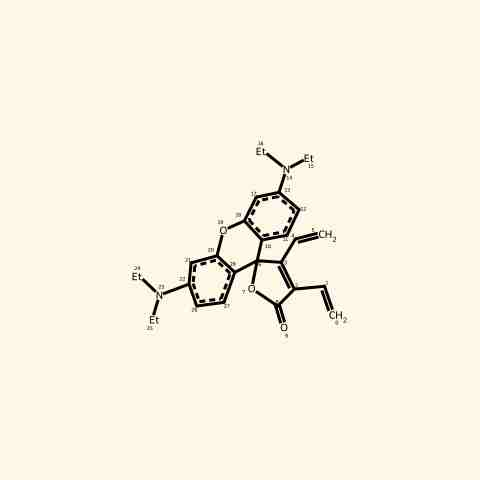 C=CC1=C(C=C)C2(OC1=O)c1ccc(N(CC)CC)cc1Oc1cc(N(CC)CC)ccc12